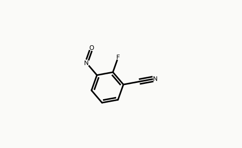 N#Cc1cccc(N=O)c1F